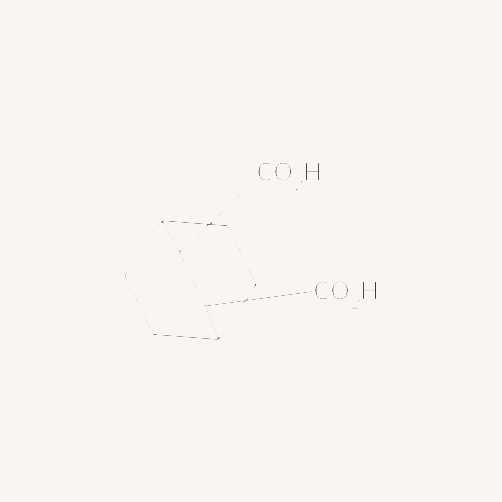 O=C(O)C1C2CCC(CC2)C1C(=O)O